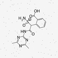 Cc1nc(C)nc(NC(=O)C(c2ccccc2C(=O)O)S(N)(=O)=O)n1